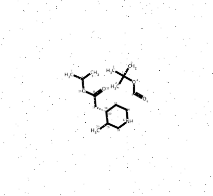 CC(C)(C)OC=O.CC(C)OC(=O)C[C@@H]1CCNCC1C